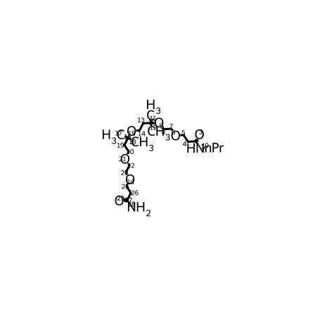 CCCNC(=O)CCOCCOC(C)(C)CCOC(C)(C)CCOCCOCCC(N)=O